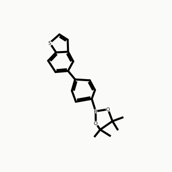 CC1(C)OB(c2ccc(-c3ccc4sccc4c3)cc2)OC1(C)C